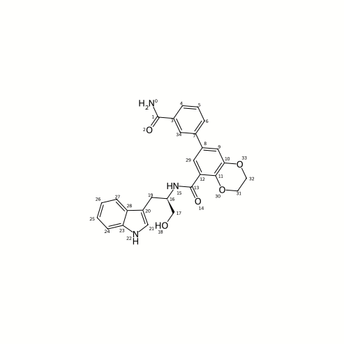 NC(=O)c1cccc(-c2cc3c(c(C(=O)N[C@@H](CO)Cc4c[nH]c5ccccc45)c2)OCCO3)c1